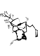 CC(C)(C)C(C)(O)[C@H]1C[C@@]23CC[C@]1(O)[C@@H]1Oc4c(O)ccc5c4[C@@]12CCN(CC1CC1)[C@@H]3C5